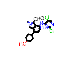 CN1Cc2c(C3CCC(O)CC3)ccc(Nc3nc(Cl)ncc3Cl)c2C1C=O